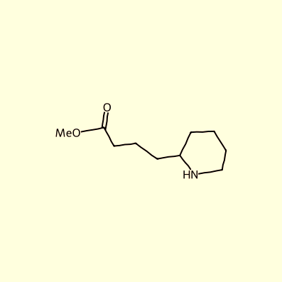 COC(=O)CCCC1CCCCN1